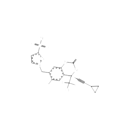 CC(F)(F)[C@@]1(C#CC2CC2)NC(=O)Nc2cc(Cn3ccc(S(N)(=O)=O)n3)c(F)cc21